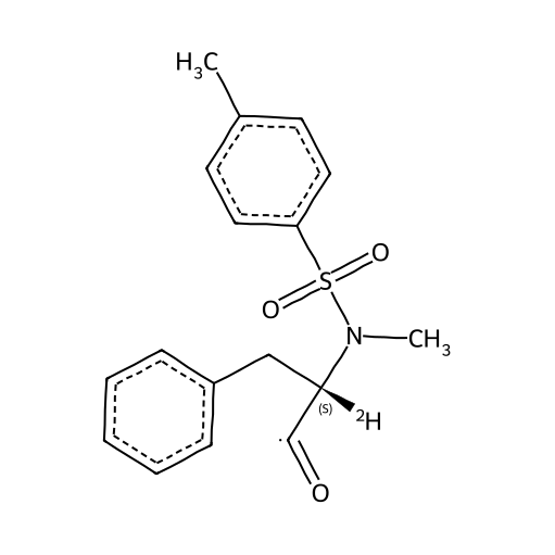 [2H][C@@]([C]=O)(Cc1ccccc1)N(C)S(=O)(=O)c1ccc(C)cc1